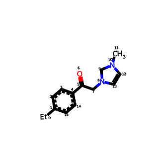 CCc1ccc(C(=O)CN2[CH]N(C)C=C2)cc1